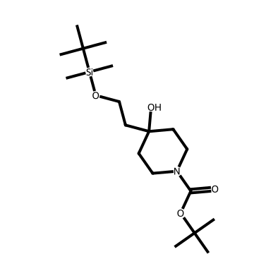 CC(C)(C)OC(=O)N1CCC(O)(CCO[Si](C)(C)C(C)(C)C)CC1